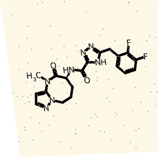 CN1C(=O)[C@@H](NC(=O)c2nnc(Cc3cccc(F)c3F)[nH]2)CCCn2nccc21